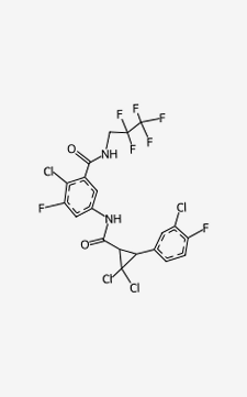 O=C(NCC(F)(F)C(F)(F)F)c1cc(NC(=O)C2C(c3ccc(F)c(Cl)c3)C2(Cl)Cl)cc(F)c1Cl